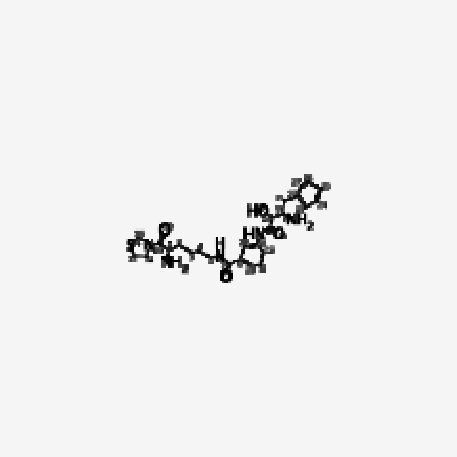 NC(CCCCNC(=O)c1cccc(NC(=O)C(O)[C@H](N)Cc2ccccc2)c1)C(=O)N1CCSC1